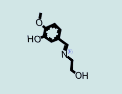 COc1ccc(/C=N/CCO)cc1O